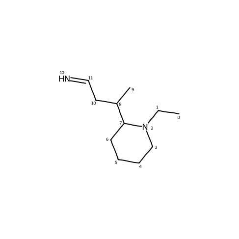 CCN1CCCCC1C(C)CC=N